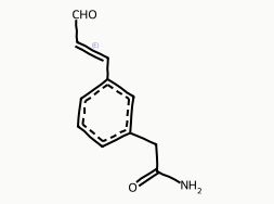 NC(=O)Cc1cccc(/C=C/C=O)c1